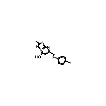 Cc1ccc(SCc2cc(O)n3nc(C)nc3n2)cc1